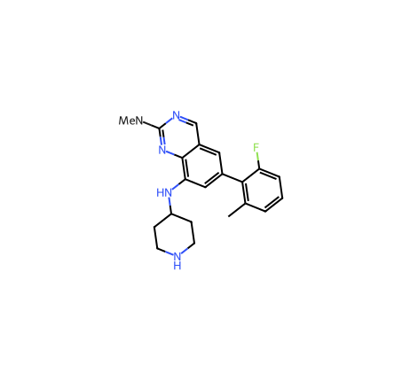 CNc1ncc2cc(-c3c(C)cccc3F)cc(NC3CCNCC3)c2n1